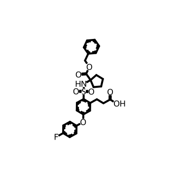 O=C(O)CCc1cc(Oc2ccc(F)cc2)ccc1S(=O)(=O)NC1(C(=O)OCc2ccccc2)CCCC1